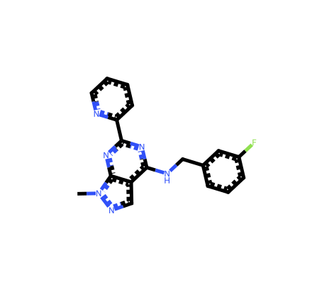 Cn1ncc2c(NCc3cccc(F)c3)nc(-c3ccccn3)nc21